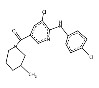 CC1CCCN(C(=O)c2cnc(Nc3ccc(Cl)cc3)c(Cl)c2)C1